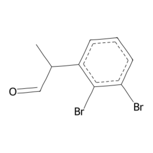 CC(C=O)c1cccc(Br)c1Br